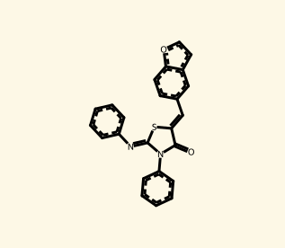 O=C1C(=Cc2ccc3occc3c2)SC(=Nc2ccccc2)N1c1ccccc1